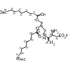 C=C(NCC(COC(=O)CCCCCCCCCCCCCCCCC)OC(=O)CCCCCCCCCCCCCCCCC)C(N)CC(=O)O